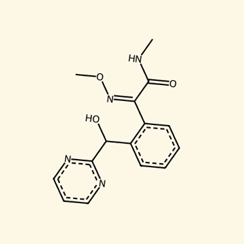 CNC(=O)C(=NOC)c1ccccc1C(O)c1ncccn1